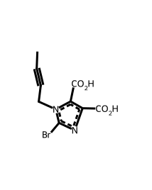 CC#CCn1c(Br)nc(C(=O)O)c1C(=O)O